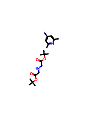 CC(C)(C)OC(=O)CNCC(=O)OC(C)(C)C.Cc1cc(I)cc(C)n1